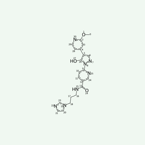 COc1cc(-c2cnn(-c3ccc(C(=O)NCCCn4ccnc4)cn3)c2O)ccn1